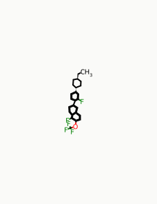 CC[C@H]1CC[C@H](c2ccc(-c3ccc4c(F)c(OC(F)(F)F)ccc4c3)c(F)c2)CC1